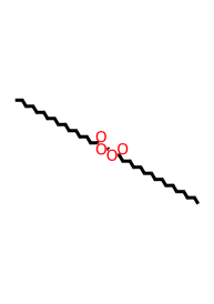 CCCCCCCCCCCCCCCC(=O)OCOC(=O)CCCCCCCCCCCCCCC